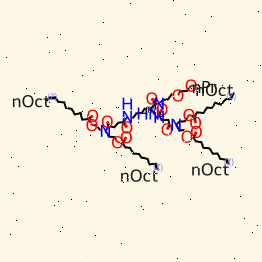 CCCCCCCC/C=C\CCCCCCCC(=O)OCCN(CCOC(=O)CCCCCCC/C=C\CCCCCCCC)C(=O)CCC(=O)NCCCC[C@@H](NC(=O)CCC(=O)N(CCOC(=O)CCCCCCC/C=C\CCCCCCCC)CCOC(=O)CCCCCCC/C=C\CCCCCCCC)C(=O)NCCCOCCOCCC